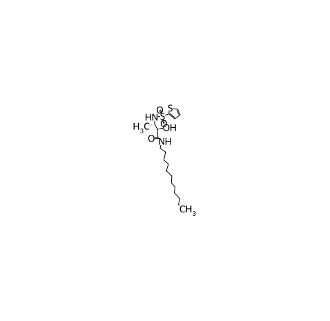 CCCCCCCCCCCCNC(=O)[C@H](O)[C@H](C)NS(=O)(=O)c1cccs1